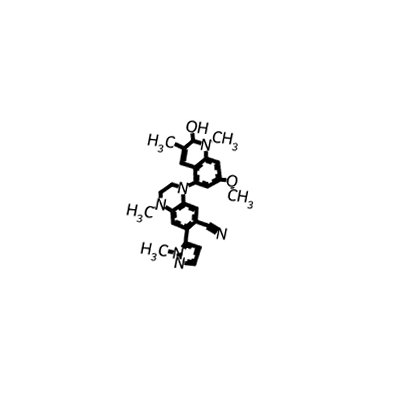 COc1cc(N2CCN(C)c3cc(-c4ccnn4C)c(C#N)cc32)c2c(c1)N(C)C(O)C(C)=C2